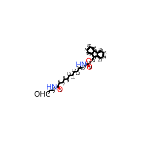 O=CCCNC(=O)CCCCCCCCCCNC(=O)OCC1c2ccccc2-c2ccccc21